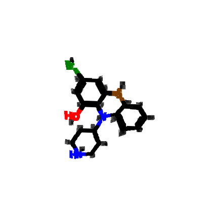 Oc1cc(Br)cc2c1N(C1CCNCC1)c1ccccc1S2